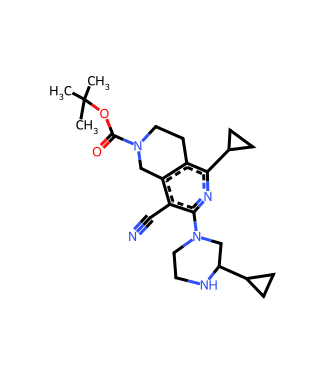 CC(C)(C)OC(=O)N1CCc2c(C3CC3)nc(N3CCNC(C4CC4)C3)c(C#N)c2C1